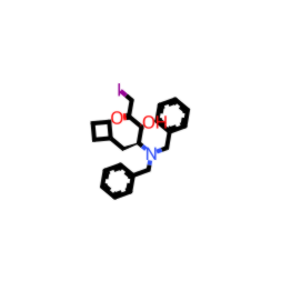 O=C(CI)[C@@H](O)[C@H](CC1CCC1)N(Cc1ccccc1)Cc1ccccc1